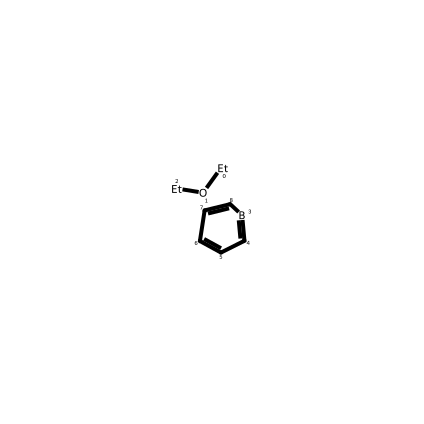 CCOCC.b1ccccc1